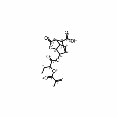 C=C(C)C(=O)OC(CC)C(=O)OC1C2CC3C1OC(=O)C3C2C(=O)O